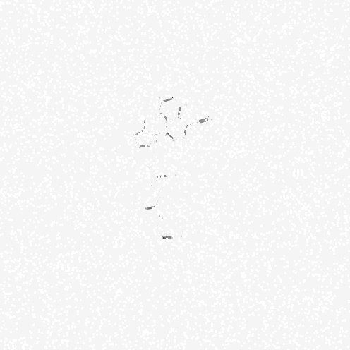 Cc1cnc(SCC(=O)NCC(=O)NCC(=O)O)n1-c1ccc(C#N)c2ccccc12